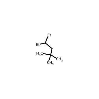 CC[C](CC)CC(C)(C)C